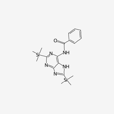 C[Si](C)(C)c1nc(NC(=O)c2ccccc2)c2[nH]c([Si](C)(C)C)nc2n1